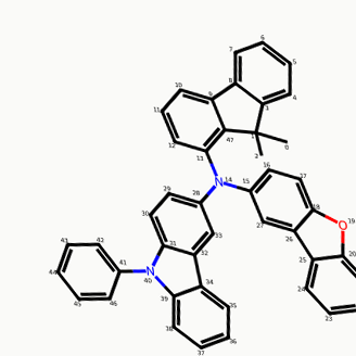 CC1(C)c2ccccc2-c2cccc(N(c3ccc4oc5ccccc5c4c3)c3ccc4c(c3)c3ccccc3n4-c3ccccc3)c21